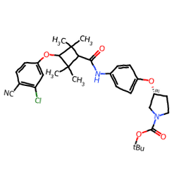 CC(C)(C)OC(=O)N1CC[C@@H](Oc2ccc(NC(=O)C3C(C)(C)C(Oc4ccc(C#N)c(Cl)c4)C3(C)C)cc2)C1